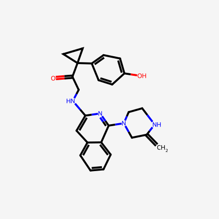 C=C1CN(c2nc(NCC(=O)C3(c4ccc(O)cc4)CC3)cc3ccccc23)CCN1